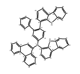 c1ccc(-c2cc(N(c3cc4ccccc4c4ccccc34)c3cccc4c3oc3ccccc34)ccc2-c2cccc3c2sc2ccccc23)cc1